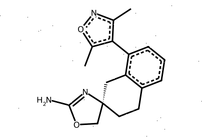 Cc1noc(C)c1-c1cccc2c1C[C@]1(CC2)COC(N)=N1